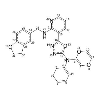 C1=CCCC(N(C2=COC=CO2)c2nnc(-c3cccnc3NCc3ccc4c(c3)CCO4)o2)=C1